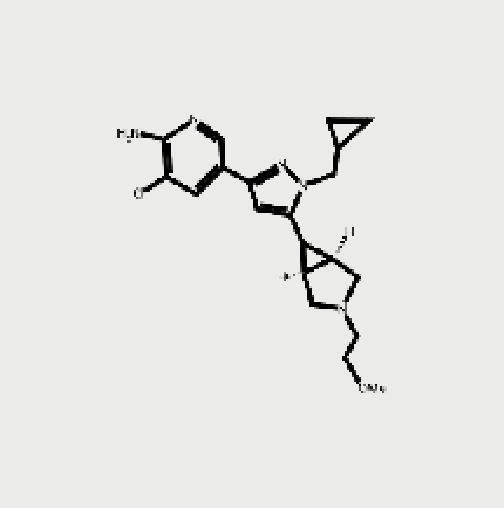 COCCN1C[C@@H]2C(c3cc(-c4cnc(N)c(Cl)c4)nn3CC3CC3)[C@@H]2C1